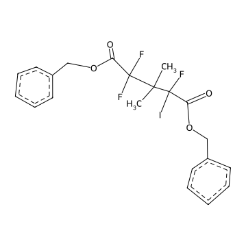 CC(C)(C(F)(F)C(=O)OCc1ccccc1)C(F)(I)C(=O)OCc1ccccc1